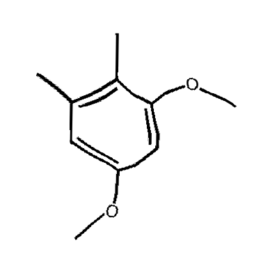 COc1cc(C)c(C)c(OC)c1